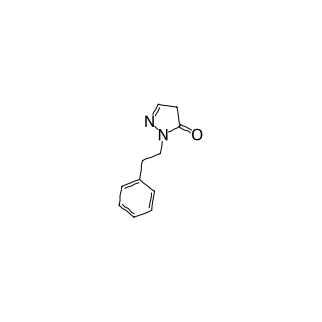 O=C1CC=NN1CCc1ccccc1